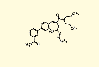 CCCN(CCC)C(=O)C1=Cc2ccc(-c3cccc(C(N)=O)c3)cc2NC(N=NN)C1